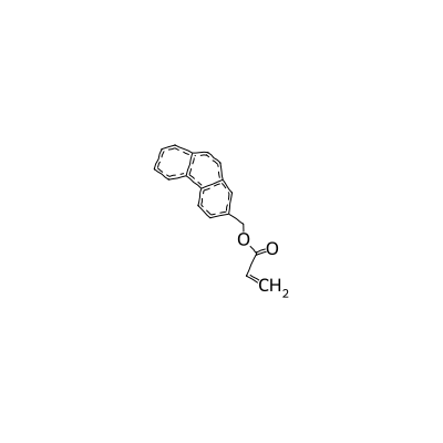 C=CC(=O)OCc1ccc2c(ccc3ccccc32)c1